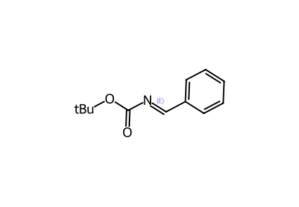 CC(C)(C)OC(=O)/N=C/c1ccccc1